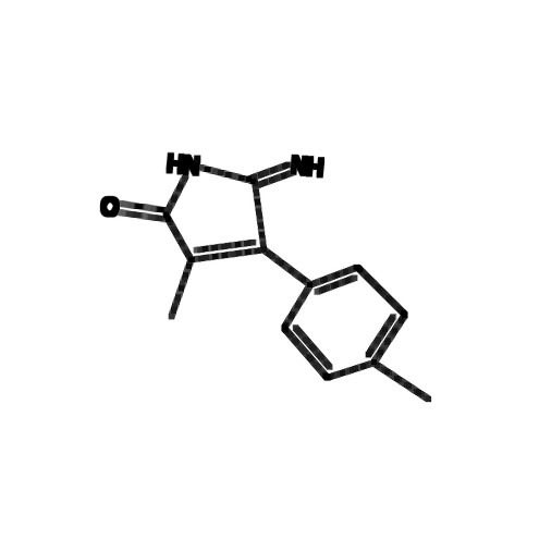 CC1=C(c2ccc(C)cc2)C(=N)NC1=O